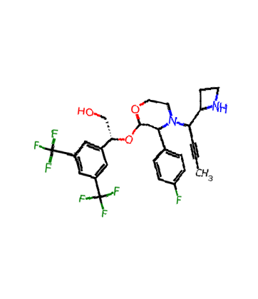 CC#CC(C1CCN1)N1CCOC(O[C@@H](CO)c2cc(C(F)(F)F)cc(C(F)(F)F)c2)C1c1ccc(F)cc1